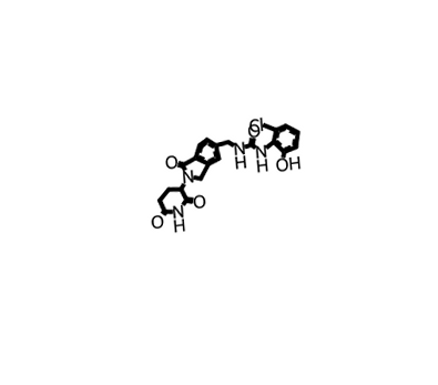 O=C1CCC(N2Cc3cc(CNC(=O)Nc4c(O)cccc4Cl)ccc3C2=O)C(=O)N1